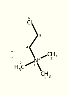 C[N+](C)(C)CCCl.[F-]